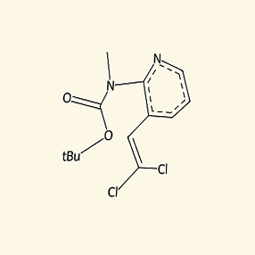 CN(C(=O)OC(C)(C)C)c1ncccc1C=C(Cl)Cl